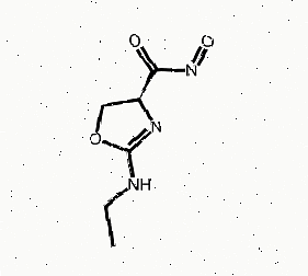 CCNC1=N[C@H](C(=O)N=O)CO1